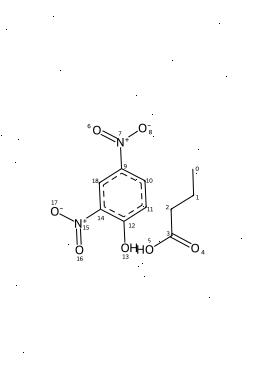 CCCC(=O)O.O=[N+]([O-])c1ccc(O)c([N+](=O)[O-])c1